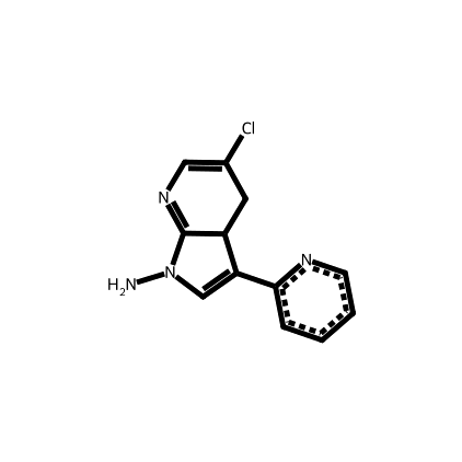 NN1C=C(c2ccccn2)C2CC(Cl)=CN=C21